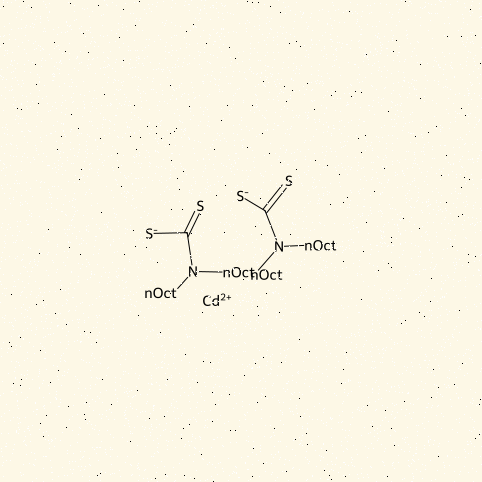 CCCCCCCCN(CCCCCCCC)C(=S)[S-].CCCCCCCCN(CCCCCCCC)C(=S)[S-].[Cd+2]